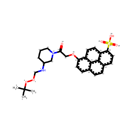 CC(C)(C)OOCNC1CCCN(C(=O)COc2ccc3ccc4ccc(S(=O)(=O)O)c5ccc2c3c45)C1